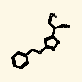 C=C[C@@H](OC)c1cc(OCc2ccccc2)no1